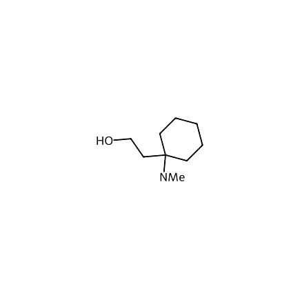 CNC1(CCO)CCCCC1